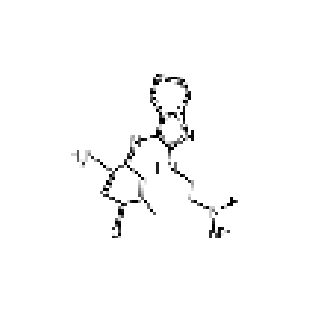 CCCN(CC)CCNc1nn2ccccc2c1/N=C1\C=C(C)C(=O)C=C1N